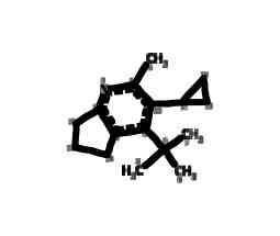 Cc1nc2c(c(C(C)(C)C)c1C1CC1)CCC2